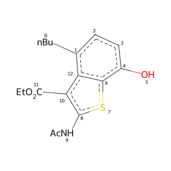 CCCCc1ccc(O)c2sc(NC(C)=O)c(C(=O)OCC)c12